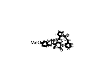 COc1ccc(CNC(=O)c2nc(C3CCCN3C(=O)OCc3ccccc3)sc2NC(=O)C(C)C)c(OC)c1